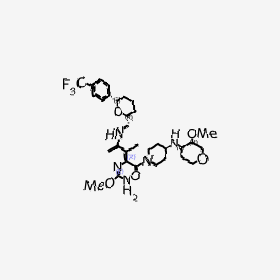 C=C(NC[C@H]1CCC[C@@H](c2ccc(C(F)(F)F)cc2)O1)/C(C)=C(\N=C(/N)OC)C(=O)N1CCC(N[C@@H]2CCOC[C@@H]2OC)CC1